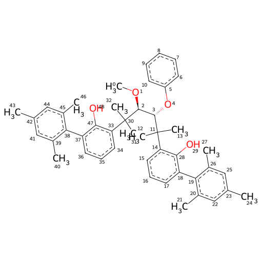 CO[C@@H]([C@H](Oc1ccccc1)C(C)(C)c1cccc(-c2c(C)cc(C)cc2C)c1O)C(C)(C)c1cccc(-c2c(C)cc(C)cc2C)c1O